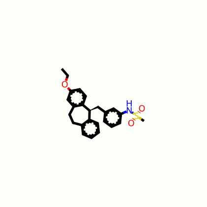 CCOc1ccc2c(c1)CCc1ccccc1[C@@H]2Cc1cccc(NS(C)(=O)=O)c1